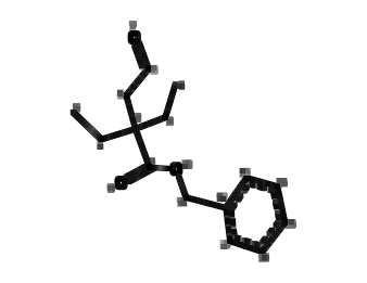 CCC(CC)(CC=O)C(=O)OCc1ccccc1